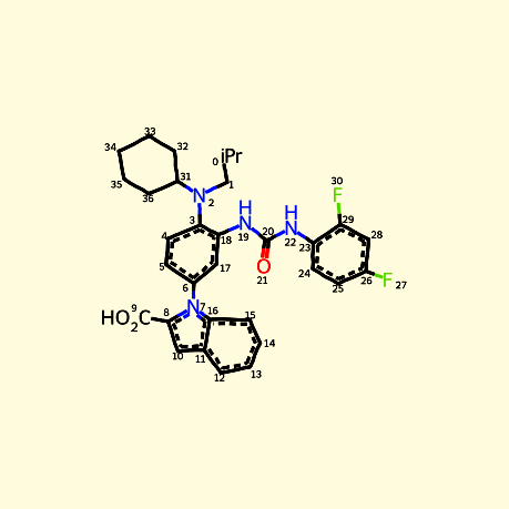 CC(C)CN(c1ccc(-n2c(C(=O)O)cc3ccccc32)cc1NC(=O)Nc1ccc(F)cc1F)C1CCCCC1